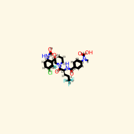 CN(C(=O)O)c1ccc(C(=O)N[C@@H](CCC(F)(F)F)C(=O)N2CCC[C@@]3(C2)OC(=O)Nc2ccc(Cl)c(F)c23)cc1